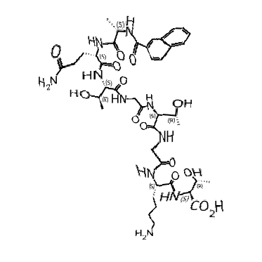 C[C@H](NC(=O)c1ccc2ccccc2c1)C(=O)N[C@@H](CCC(N)=O)C(=O)N[C@H](C(=O)NCC(=O)N[C@H](C(=O)NCC(=O)N[C@@H](CCCCN)C(=O)N[C@H](C(=O)O)[C@@H](C)O)[C@@H](C)O)[C@@H](C)O